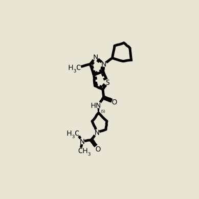 Cc1nn(C2CCCCC2)c2sc(C(=O)N[C@H]3CCN(C(=O)N(C)C)C3)cc12